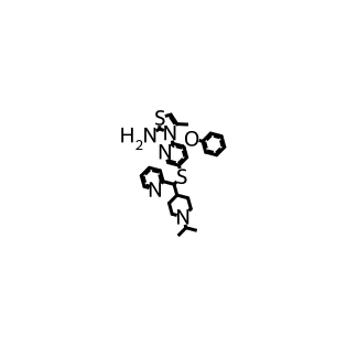 CC1=CSC(N)N1c1ncc(SC(c2ccccn2)C2CCN(C(C)C)CC2)cc1Oc1ccccc1